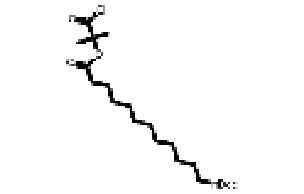 CCCCCCCCCCCCCCCCCCCCCC(=O)OC(C)(C)C(=O)Cl